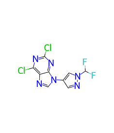 FC(F)n1cc(-n2cnc3c(Cl)nc(Cl)nc32)cn1